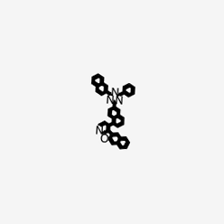 c1ccc(-c2nc(-c3ccc4ccccc4c3)nc(-c3ccc4c(-c5ccnc6oc7cc8ccccc8cc7c56)cccc4c3)n2)cc1